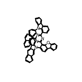 c1ccc(-n2c3ccccc3c3cccc(-c4nc(-c5cccc6ccccc56)nc(-c5c(-n6c7ccccc7c7cc8ccccc8cc76)ccc6c5oc5ccccc56)n4)c32)cc1